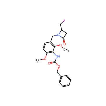 COc1ccc(CN2C(=O)CC2CI)c(OC)c1NC(=O)OCc1ccccc1